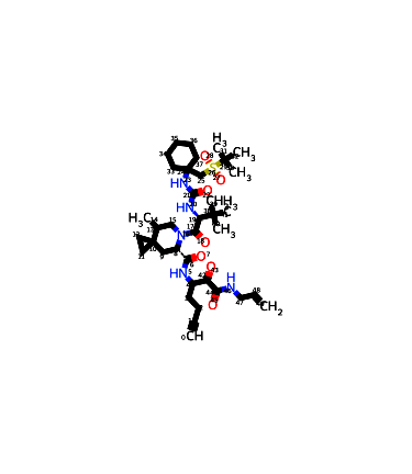 C#CCCC(NC(=O)[C@@H]1CC2(CC2)C(C)CN1C(=O)[C@@H](NC(=O)NC1(CS(=O)(=O)C(C)(C)C)CCCCC1)C(C)(C)C)C(=O)C(=O)NCC=C